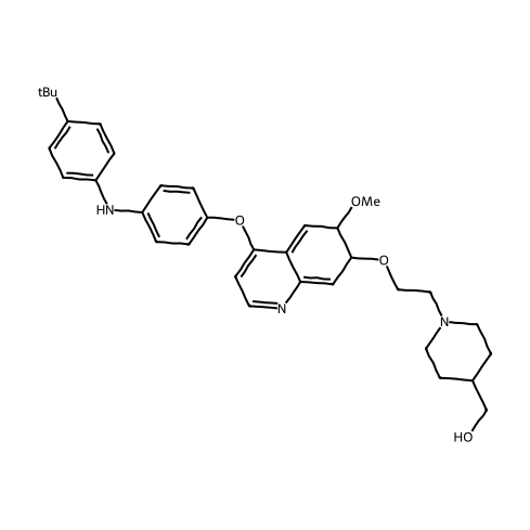 COC1C=c2c(Oc3ccc(Nc4ccc(C(C)(C)C)cc4)cc3)ccnc2=CC1OCCN1CCC(CO)CC1